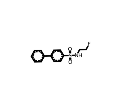 O=S(=O)(NCCF)c1ccc(-c2ccccc2)cc1